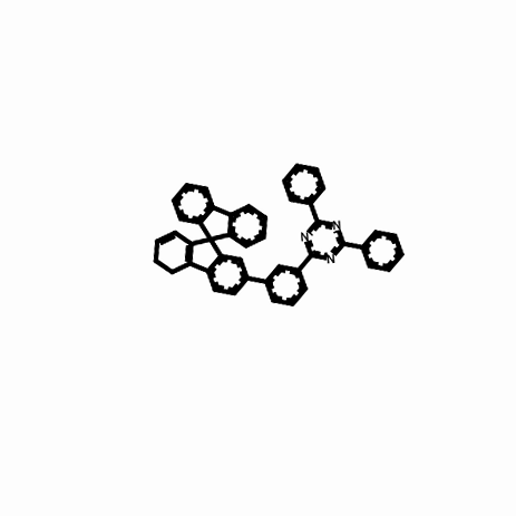 C1=CC2=C(CC1)c1ccc(-c3cccc(-c4nc(-c5ccccc5)nc(-c5ccccc5)n4)c3)cc1C21c2ccccc2-c2ccccc21